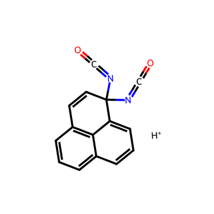 O=C=NC1(N=C=O)C=Cc2cccc3cccc1c23.[H+]